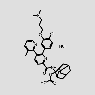 Cc1cccnc1-c1ccc(C(=O)NC2(OC(=O)O)C3CC4CC(C3)CC2C4)nc1-c1ccc(Cl)c(OCCCN(C)C)c1.Cl